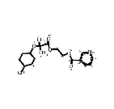 CC(C)(OC1CCC(Cl)CC1)C(=O)OCCOC(=O)c1cccnc1